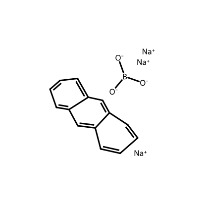 [Na+].[Na+].[Na+].[O-]B([O-])[O-].c1ccc2cc3ccccc3cc2c1